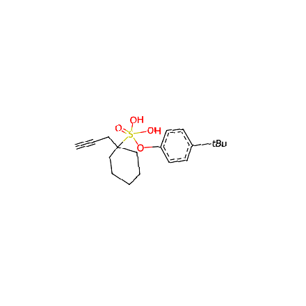 C#CCC1(S(=O)(O)(O)Oc2ccc(C(C)(C)C)cc2)CCCCC1